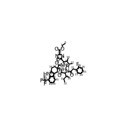 CCOC(=O)c1noc(C(NC(=O)[C@@]2(NC(=O)C(NC(=O)Cc3ccccc3F)C(C)CC)CCc3[nH]c4c(C(F)(F)F)cccc4c3C2)C(C)CC)n1